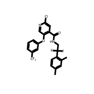 Cc1ccc(C(F)(F)CNC(=O)c2cc(Cl)ncc2Oc2cccc(C(F)(F)F)c2)c(C)c1